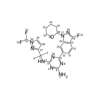 CC(C)(Nc1nc(N)nc(-c2ccc3c(F)nn(C4CCCCO4)c3c2)n1)c1ccn(C(F)F)n1